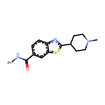 CC(C)NC(=O)c1ccc2nc(C3CCN(C)CC3)sc2c1